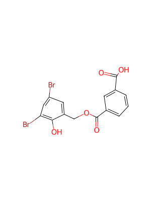 O=C(O)c1cccc(C(=O)OCc2cc(Br)cc(Br)c2O)c1